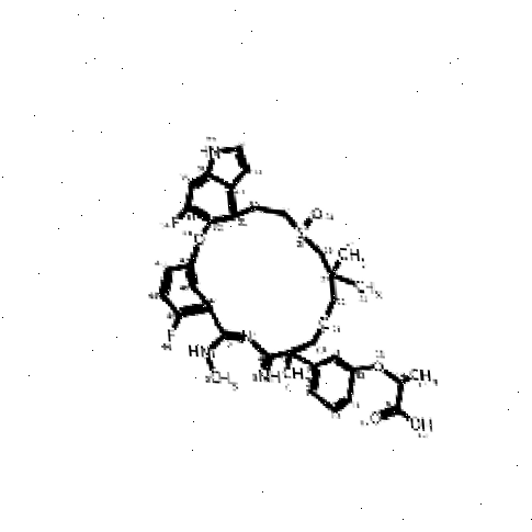 CN/C1=N\C(=N)C(C)(c2cccc(OC(C)C(=O)O)c2)CCCC(C)(C)C[S+]([O-])CCc2c(c(F)cc3[nH]ccc23)Oc2ccc(F)c1c2